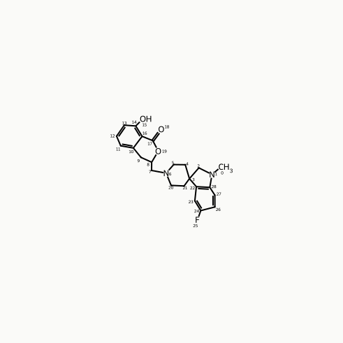 CN1CC2(CCN(CC3Cc4cccc(O)c4C(=O)O3)CC2)c2cc(F)ccc21